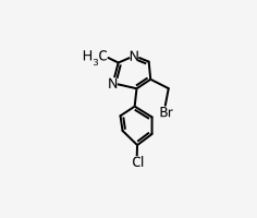 Cc1ncc(CBr)c(-c2ccc(Cl)cc2)n1